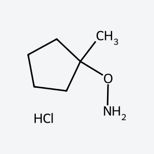 CC1(ON)CCCC1.Cl